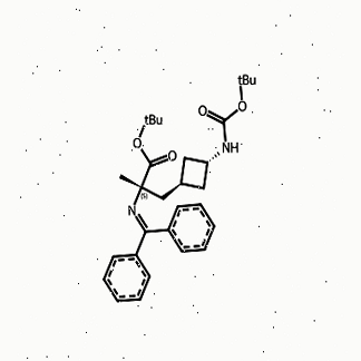 CC(C)(C)OC(=O)N[C@H]1C[C@H](C[C@](C)(N=C(c2ccccc2)c2ccccc2)C(=O)OC(C)(C)C)C1